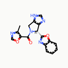 Cc1ncoc1C(=O)N1Cc2[nH]cnc2[C@@H]1c1nc2ccccc2o1